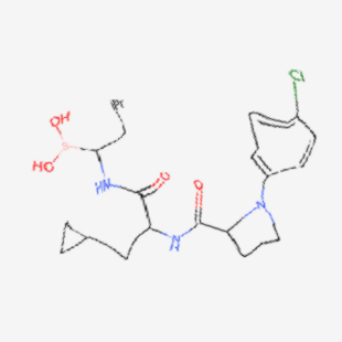 CC(C)CC(NC(=O)C(CC1CC1)NC(=O)C1CCN1c1ccc(Cl)cc1)B(O)O